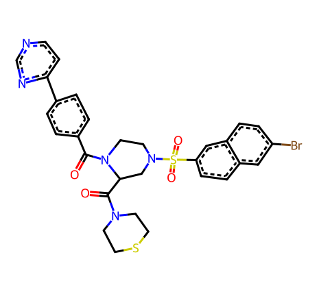 O=C(C1CN(S(=O)(=O)c2ccc3cc(Br)ccc3c2)CCN1C(=O)c1ccc(-c2ccncn2)cc1)N1CCSCC1